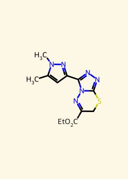 CCOC(=O)C1=Nn2c(nnc2-c2cc(C)n(C)n2)SC1